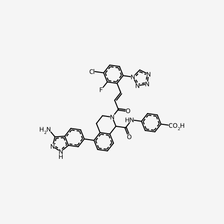 Nc1n[nH]c2cc(-c3cccc4c3CCN(C(=O)C=Cc3c(-n5cnnn5)ccc(Cl)c3F)C4C(=O)Nc3ccc(C(=O)O)cc3)ccc12